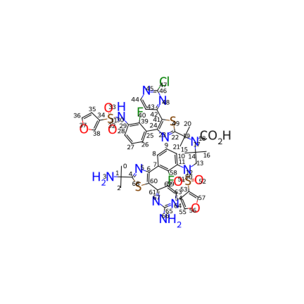 CC(C)(N)c1nc(-c2cccc(N(CC(C)(C)N(C(=O)O)C(C)(C)c3nc(-c4cccc(NS(=O)(=O)c5ccoc5)c4F)c(-c4ccnc(Cl)n4)s3)S(=O)(=O)c3ccoc3)c2F)c(-c2ccnc(N)n2)s1